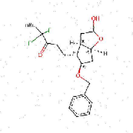 CCCCC(F)(F)C(=O)CC[C@@H]1[C@H]2CC(O)O[C@H]2C[C@H]1OCc1ccccc1